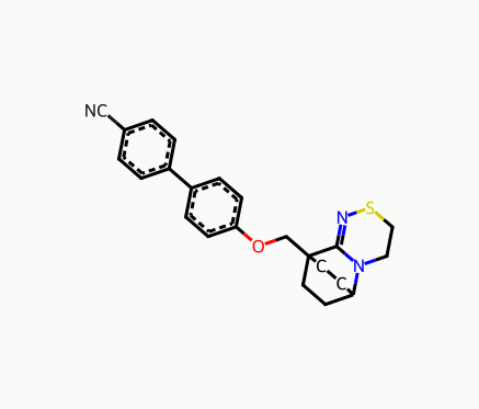 N#Cc1ccc(-c2ccc(OCC34CCC(CC3)N3CCSN=C34)cc2)cc1